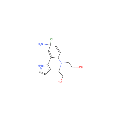 NC1(Cl)C=CC(N(CCO)CCO)C(c2ccc[nH]2)=C1